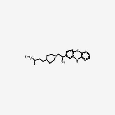 CCOC(=O)C(C)CCC1CCN(CC(O)c2ccc3c(c2)Nc2nccnc2S3)CC1